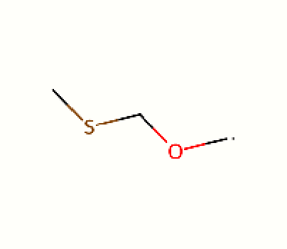 [CH2]OCSC